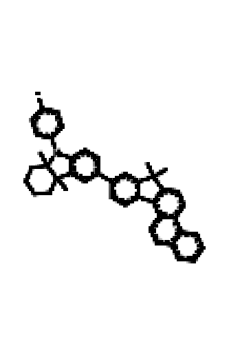 CC1(C)c2cc(-c3ccc4c(c3)C3(C)CCCCC3(C)N4c3ccc(F)cc3)ccc2-c2c1ccc1c2ccc2ccccc21